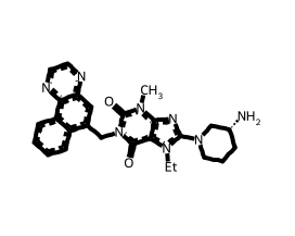 CCn1c(N2CCC[C@@H](N)C2)nc2c1c(=O)n(Cc1cc3nccnc3c3ccccc13)c(=O)n2C